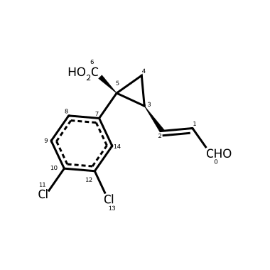 O=CC=C[C@@H]1C[C@@]1(C(=O)O)c1ccc(Cl)c(Cl)c1